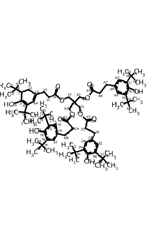 CC(C)(C)C1=C(O)C(C(C)(C)C)CC(CCC(=O)OCC(COC(=O)CCc2cc(C(C)(C)C)c(O)c(C(C)(C)C)c2)(COC(=O)CCc2cc(C(C)(C)C)c(O)c(C(C)(C)C)c2)COC(=O)CCc2cc(C(C)(C)C)c(O)c(C(C)(C)C)c2)=C1